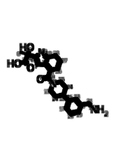 C[C@](O)(C(=O)O)C1=CC2=C(C(=O)N3CCC(c4cccc(CN)c4)CC3)C=CCC2=N1